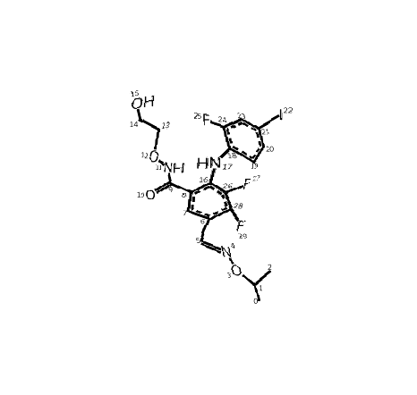 CC(C)O/N=C/c1cc(C(=O)NOCCO)c(Nc2ccc(I)cc2F)c(F)c1F